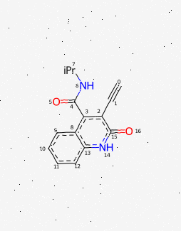 C#Cc1c(C(=O)NC(C)C)c2ccccc2[nH]c1=O